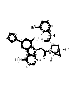 Cc1cc(-c2ccco2)cc2c3c(N)ncnc3n(CC(=O)N3[C@@H]4C[C@@H]4C[C@H]3C(=O)Nc3cccc(Br)n3)c12